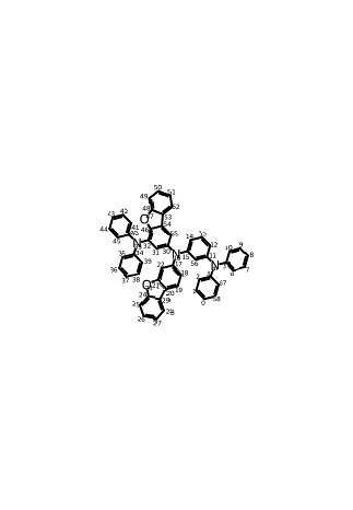 c1ccc(N(c2ccccc2)c2cccc(N(c3ccc4c(c3)oc3ccccc34)c3cc(N(c4ccccc4)c4ccccc4)c4oc5ccccc5c4c3)c2)cc1